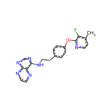 Cc1ccnc(Oc2ccc(CCNc3ncnc4nccnc34)cc2)c1F